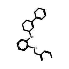 C=C(/C=C\C)CNc1ccccc1NC1C=C(C2=CC=CCC2)CCC1